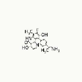 Cc1c(F)c(O)c(-c2ccc(C(C)CN)cc2)c2c1[nH]c(=O)c1c(O)ccnc12